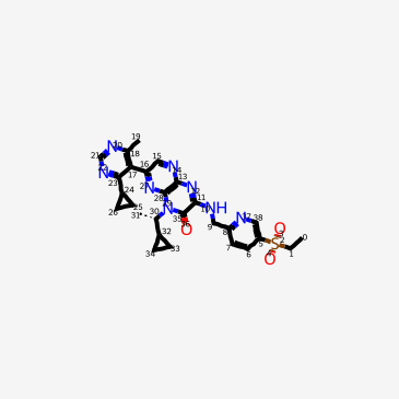 CCS(=O)(=O)c1ccc(CNc2nc3ncc(-c4c(C)ncnc4C4CC4)nc3n([C@@H](C)C3CC3)c2=O)nc1